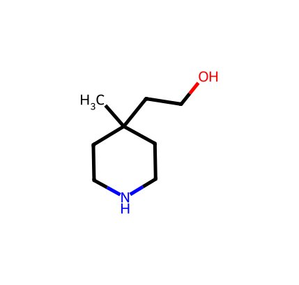 CC1(CCO)CCNCC1